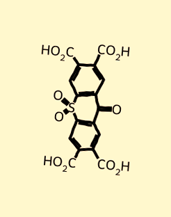 O=C(O)c1cc2c(cc1C(=O)O)S(=O)(=O)c1cc(C(=O)O)c(C(=O)O)cc1C2=O